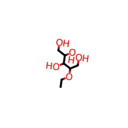 CCOC(CO)C(O)C(O)CO